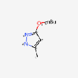 CCCCOC1=N[N]C(C)=C1